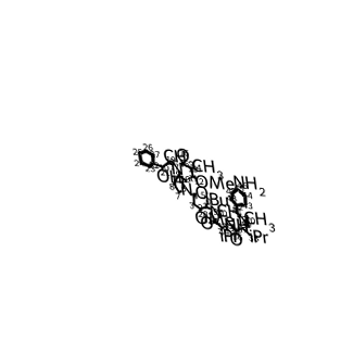 CCC(C)C(C(CC(=O)N1CCC[C@H]1C(OC)C(C)C(=O)NC(C)C(O)c1ccccc1)OC)N(C)C(=O)C(NC(=O)C(C(C)C)N(C)Cc1ccc(N)cc1)C(C)C